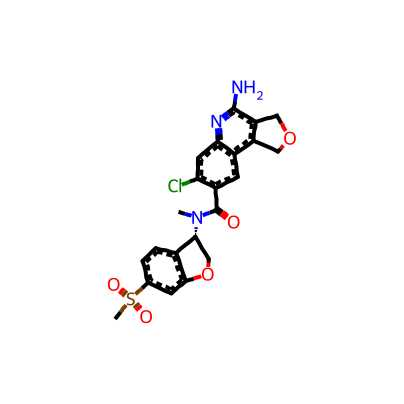 CN(C(=O)c1cc2c3c(c(N)nc2cc1Cl)COC3)[C@@H]1COc2cc(S(C)(=O)=O)ccc21